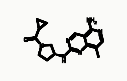 Cc1cnc(N)c2cnc(N[C@H]3CCN(C(=O)C4CC4)C3)nc12